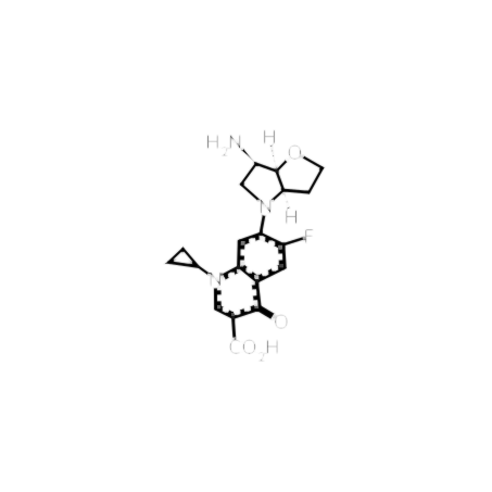 N[C@@H]1CN(c2cc3c(cc2F)c(=O)c(C(=O)O)cn3C2CC2)[C@@H]2CCO[C@H]12